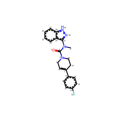 CN(C(=O)N1CC=C(c2ccc(F)cc2)CC1)c1n[nH]c2ccccc12